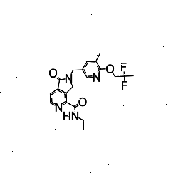 CCNC(=O)c1nccc2c1CN(Cc1cnc(OCC(C)(F)F)c(C)c1)C2=O